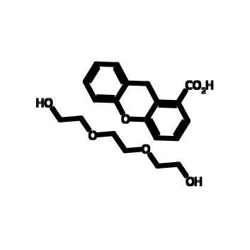 O=C(O)c1cccc2c1Cc1ccccc1O2.OCCOCCOCCO